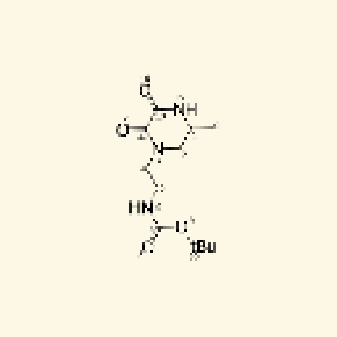 CC1CN(CCNC(=O)OC(C)(C)C)C(=O)C(=O)N1